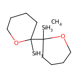 C.[SiH3]C1(C2([SiH3])CCCCO2)CCCCO1